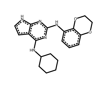 [c]1ccc(Nc2nc(NC3CCCCC3)c3cc[nH]c3n2)c2c1OCCO2